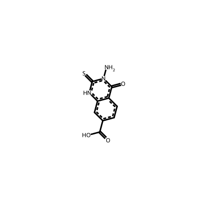 Nn1c(=S)[nH]c2cc(C(=O)O)ccc2c1=O